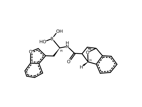 O=C(N[C@@H](Cc1coc2ccccc12)B(O)O)C1C=C2O[C@@H]1c1ccccc12